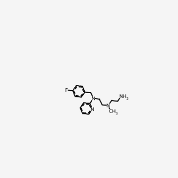 CN(CCN)CCN(Cc1ccc(F)cc1)c1ccccn1